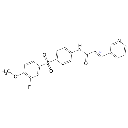 COc1ccc(S(=O)(=O)c2ccc(NC(=O)/C=C/c3cccnc3)cc2)cc1F